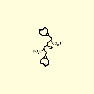 O=C(O)N(CC(O)CN(CC1C2CC/C=C/CCC21)C(=O)O)CC1C2CC/C=C/CCC21